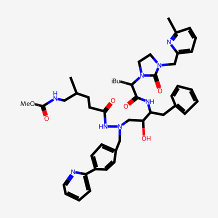 CCC(C)C(C(=O)NC(Cc1ccccc1)C(O)CN(Cc1ccc(-c2ccccn2)cc1)NC(=O)CCC(C)CNC(=O)OC)N1CCN(Cc2cccc(C)n2)C1=O